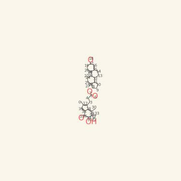 CC1=C(CCC(=O)OC2CCC3C4CCC5=CC(=O)CC[C@]5(C)C4CC[C@]23C)C2=C(C)C3(CC3)C(O)C(=O)C2=C1